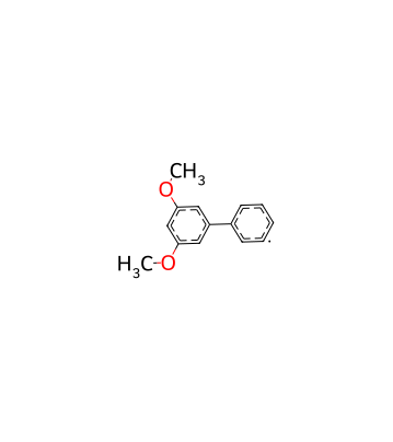 COc1cc(OC)cc(-c2c[c]ccc2)c1